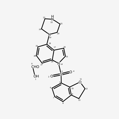 O=CO.O=S(=O)(c1cccc2c1OCC2)n1ccc2c(N3CCNCC3)cccc21